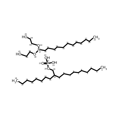 CCCCCCCCCCC(CCCCCCCC)COP(=O)(O)O.CCCCCCCCCCCCN(OCCO)OCCO